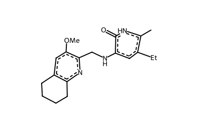 CCc1cc(NCc2nc3c(cc2OC)CCCC3)c(=O)[nH]c1C